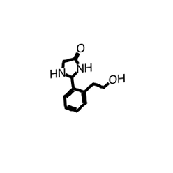 O=C1CNC(c2ccccc2CCO)N1